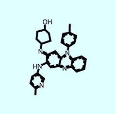 Cc1ccc(-n2c3c/c(=N\C4CCC(O)CC4)c(Nc4ccc(C)nc4)cc-3nc3ccccc32)cc1